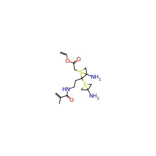 C=COC(=O)CS12CC1(N)C2(CCNC(=O)C(=C)C)S12CC1(N)C2